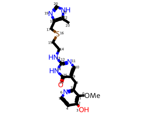 COc1c(O)ccnc1Cc1cnc(NCCSCc2nc[nH]c2C)[nH]c1=O